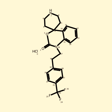 Cl.O=C1OC2(CCNCC2)c2ccccc2N1CCc1ccc(C(F)(F)F)cc1